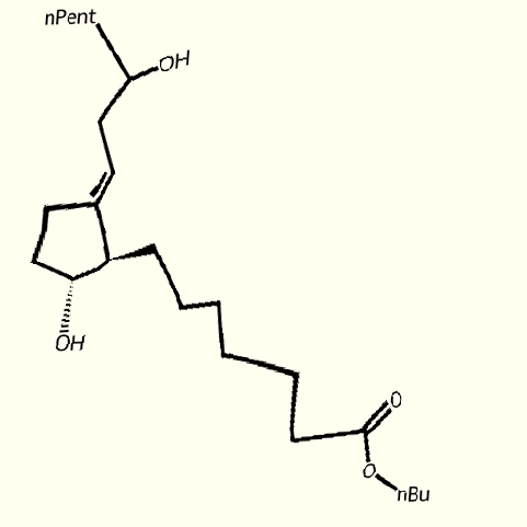 CCCCCC(O)CC=C1CC[C@@H](O)[C@@H]1CCCCCCC(=O)OCCCC